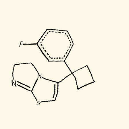 Fc1cccc(C2(C3=CSC4=NCCN34)CCC2)c1